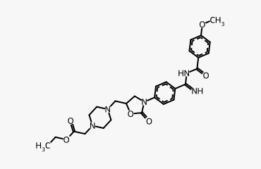 CCOC(=O)CN1CCN(CC2CN(c3ccc(C(=N)NC(=O)c4ccc(OC)cc4)cc3)C(=O)O2)CC1